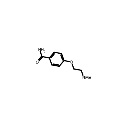 CNCCOc1ccc(C(N)=O)cc1